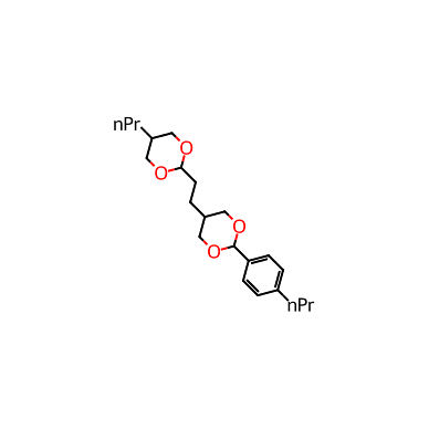 CCCc1ccc(C2OCC(CCC3OCC(CCC)CO3)CO2)cc1